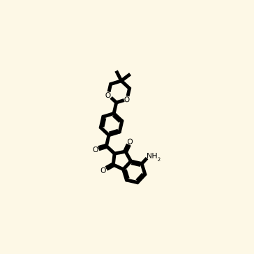 CC1(C)COC(c2ccc(C(=O)C3C(=O)c4cccc(N)c4C3=O)cc2)OC1